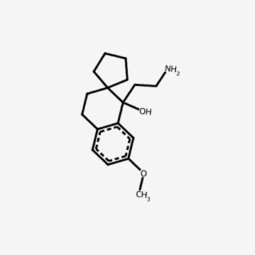 COc1ccc2c(c1)C(O)(CCN)C1(CCCC1)CC2